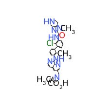 Cc1c(Nc2nccc3cc(CN4CC[C@@](C)(C(=O)O)C4)cnc23)cccc1-c1cccc(NC(=O)c2nc3c(n2C)CCNC3)c1Cl